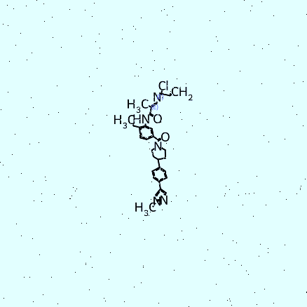 C=C/C(Cl)=N\C=C(/C)C(=O)Nc1cc(C(=O)N2CCC(c3ccc(-c4cnn(C)c4)cc3)CC2)ccc1CC